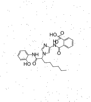 CCCCCCC(C(=O)Nc1ccccc1O)n1cnc(NC(=O)c2ccccc2S(=O)(=O)O)c1